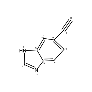 C#Cc1ccc2n[c][nH]c2c1